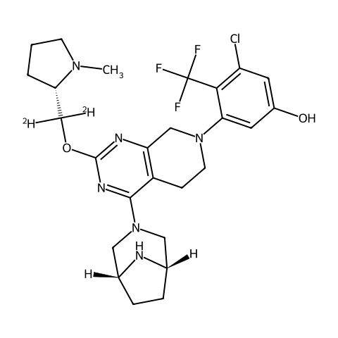 [2H]C([2H])(Oc1nc2c(c(N3C[C@H]4CC[C@@H](C3)N4)n1)CCN(c1cc(O)cc(Cl)c1C(F)(F)F)C2)[C@@H]1CCCN1C